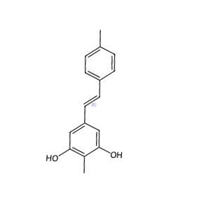 Cc1ccc(/C=C/c2cc(O)c(C)c(O)c2)cc1